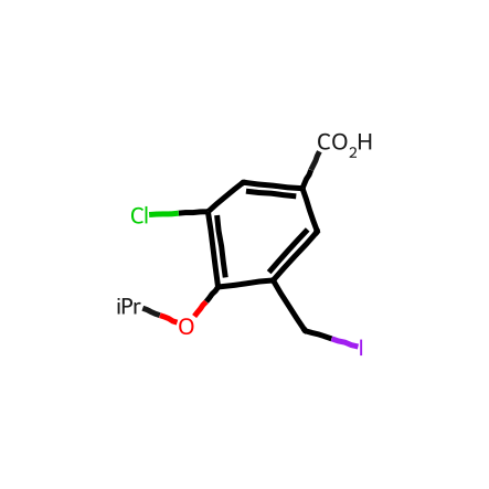 CC(C)Oc1c(Cl)cc(C(=O)O)cc1CI